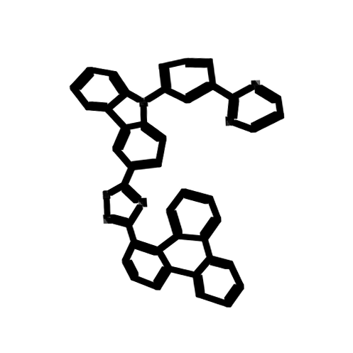 c1cnc(-c2cccc(-n3c4ccccc4c4cc(-c5nc(-c6cccc7c8ccccc8c8ccccc8c67)ns5)ccc43)c2)nc1